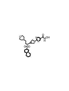 O=C(NO)c1cnc(N2CC3C(C2)C3N(CCN2CCOCC2)S(=O)(=O)c2ccc3ccccc3c2)nc1